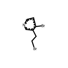 BrCCc1cn[c]cc1Br